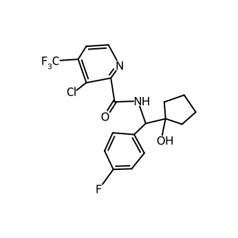 O=C(NC(c1ccc(F)cc1)C1(O)CCCC1)c1nccc(C(F)(F)F)c1Cl